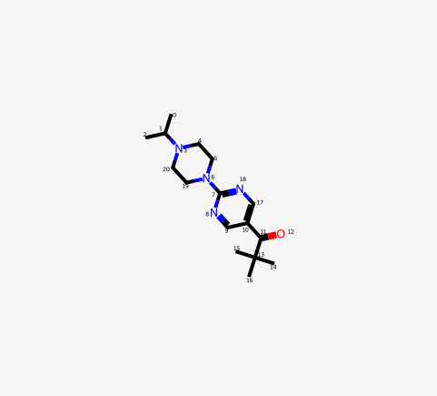 CC(C)N1CCN(c2ncc(C(=O)C(C)(C)C)cn2)CC1